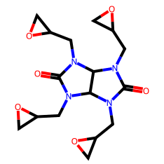 O=C1N(CC2CO2)C2C(N1CC1CO1)N(CC1CO1)C(=O)N2CC1CO1